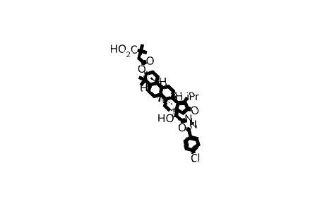 CC(C)C1=C2[C@H]3CC[C@@H]4[C@@]5(C)CC[C@H](OC(=O)CC(C)(C)C(=O)O)C(C)(C)[C@@H]5CC[C@@]4(C)[C@]3(C)CC[C@@]2([C@H](O)c2nnc(-c3ccc(Cl)cc3)o2)CC1=O